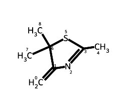 C=C1N=C(C)SC1(C)C